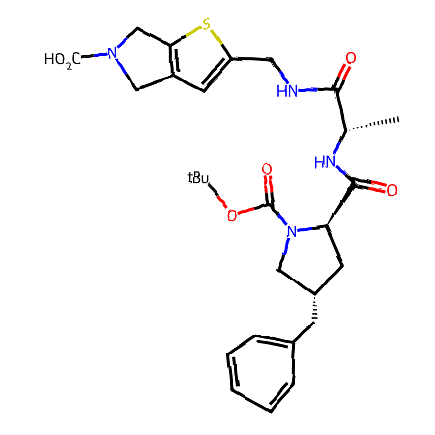 C[C@H](NC(=O)[C@H]1C[C@H](Cc2ccccc2)CN1C(=O)OC(C)(C)C)C(=O)NCc1cc2c(s1)CN(C(=O)O)C2